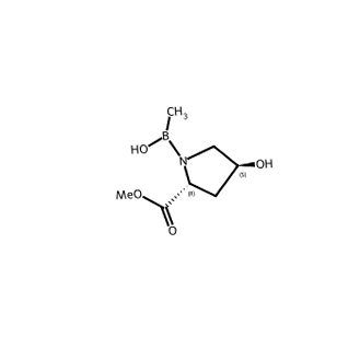 COC(=O)[C@H]1C[C@H](O)CN1B(C)O